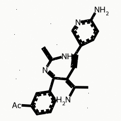 C=C(N)/N=C(\C(C#Cc1ccc(N)nc1)=C(\C)N)c1cccc(C(C)=O)c1